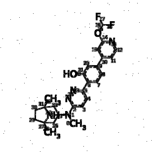 CN(c1ccc(-c2ccc(-c3ccnc(OC(F)F)c3)cc2O)nn1)[C@H]1C[C@]2(C)CC[C@](C)(C1)N2